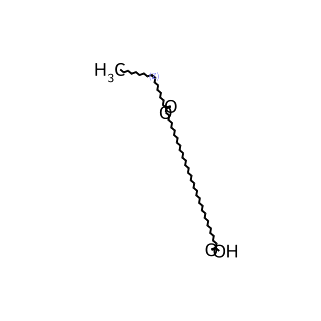 CCCCCCCC/C=C\CCCCCCCC(=O)OCCCCCCCCCCCCCCCCCCCCCCCCCCCCCCCCCCCC(=O)O